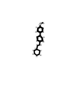 CSc1ccc(-c2ccc(CCC3CCCCC3)cc2)cc1